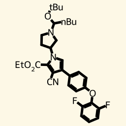 CCCCC(OC(C)(C)C)N1CCC(n2cc(-c3ccc(Oc4c(F)cccc4F)cc3)c(C#N)c2C(=O)OCC)C1